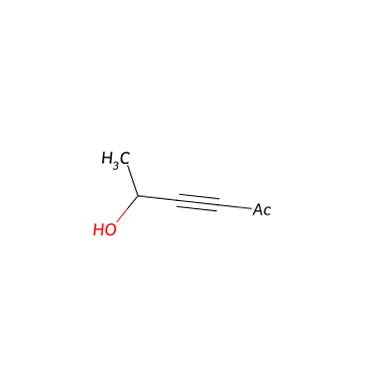 CC(=O)C#CC(C)O